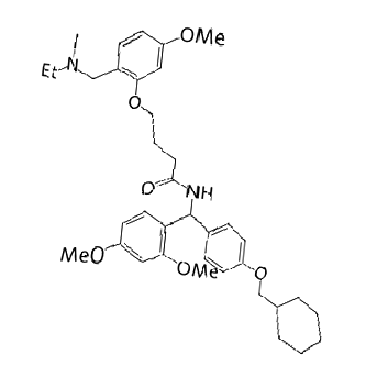 CCN(I)Cc1ccc(OC)cc1OCCCC(=O)NC(c1ccc(OCC2CCCCC2)cc1)c1ccc(OC)cc1OC